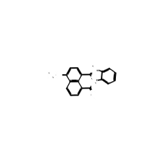 N#Cc1ccc2c3c1cccc3c(=O)n1c3ccccc3nc21